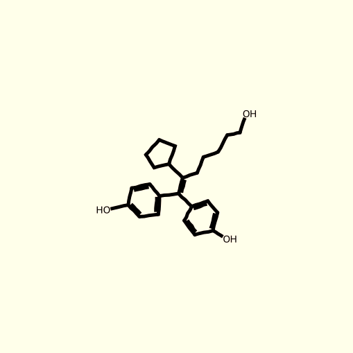 OCCCCCC(=C(c1ccc(O)cc1)c1ccc(O)cc1)C1CCCC1